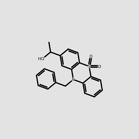 CC(O)c1ccc2c(c1)N(Cc1ccccc1)c1ccccc1S2(=O)=O